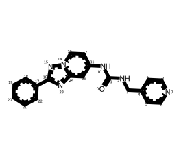 O=C(NCc1ccncc1)Nc1ccn2nc(-c3ccccc3)nc2c1